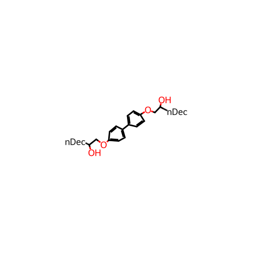 CCCCCCCCCCC(O)COc1ccc(-c2ccc(OCC(O)CCCCCCCCCC)cc2)cc1